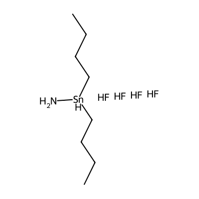 CCC[CH2][SnH]([NH2])[CH2]CCC.F.F.F.F